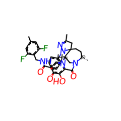 CC1=NN(c2ccccc2)C2(CC[C@H](C)N3C[C@H]2n2cc(C(=O)NCc4c(F)cc(C)cc4F)c(=O)c(O)c2C3=O)C1